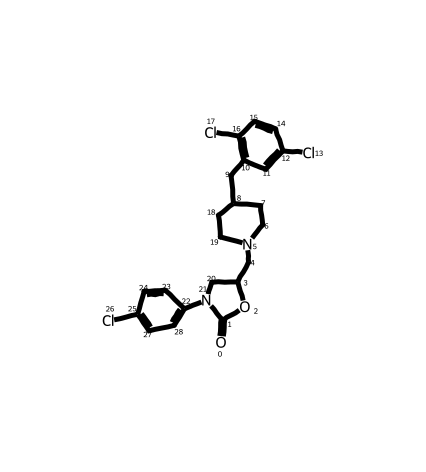 O=C1OC(CN2CCC(Cc3cc(Cl)ccc3Cl)CC2)CN1c1ccc(Cl)cc1